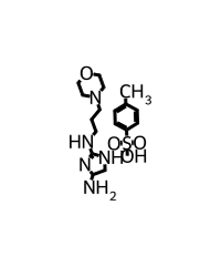 Cc1ccc(S(=O)(=O)O)cc1.NC1CNC(NCCCN2CCOCC2)=N1